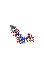 COc1ccc(C2=NN(C3CCN(S(=O)(=O)c4ccc(C)cc4)CC3)C(=O)CC2)cc1OC